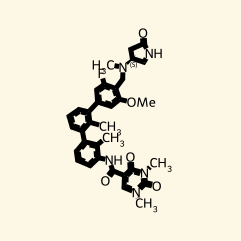 COc1cc(-c2cccc(-c3cccc(NC(=O)c4cn(C)c(=O)n(C)c4=O)c3C)c2C)cc(F)c1CN(C)[C@@H]1CNC(=O)C1